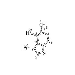 CC(C)c1nsc2ncn(C)c(=N)c12